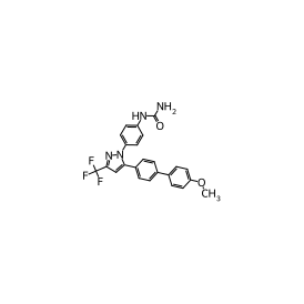 COc1ccc(-c2ccc(-c3cc(C(F)(F)F)nn3-c3ccc(NC(N)=O)cc3)cc2)cc1